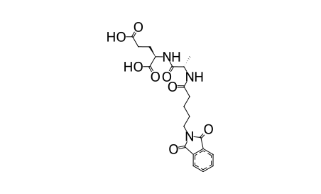 C[C@H](NC(=O)CCCCN1C(=O)c2ccccc2C1=O)C(=O)N[C@H](CCC(=O)O)C(=O)O